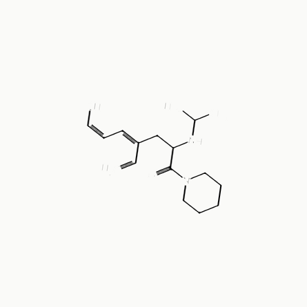 C=C/C(=C\C=C/C)CC(NC(C)C)C(=O)N1CCCCC1